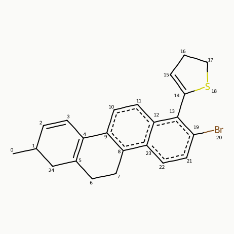 CC1C=CC2=C(CCc3c2ccc2c(C4=CCCS4)c(Br)ccc32)C1